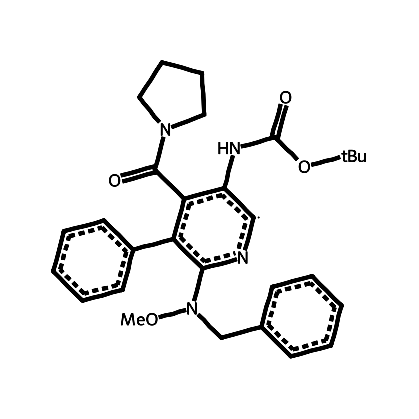 CON(Cc1ccccc1)c1n[c]c(NC(=O)OC(C)(C)C)c(C(=O)N2CCCC2)c1-c1ccccc1